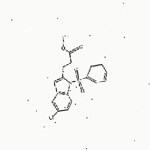 CC(C)OC(=O)CCc1cc2cc(Cl)ccc2n1S(=O)(=O)c1ccccc1